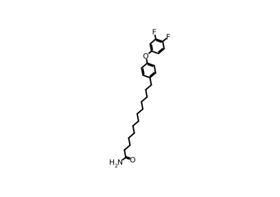 NC(=O)CCCCCCCCCCCCc1ccc(Oc2ccc(F)c(F)c2)cc1